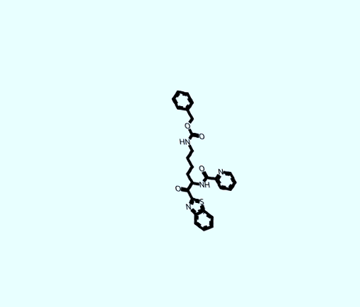 O=C(NCCCCC(NC(=O)c1ccccn1)C(=O)c1nc2ccccc2s1)OCc1ccccc1